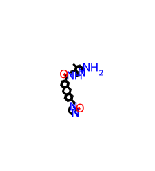 Cc1cc(N)nc(C)c1CNC(=O)c1ccc2c(c1)Cc1cc(CN3CCCN(C)C3=O)ccc1C2